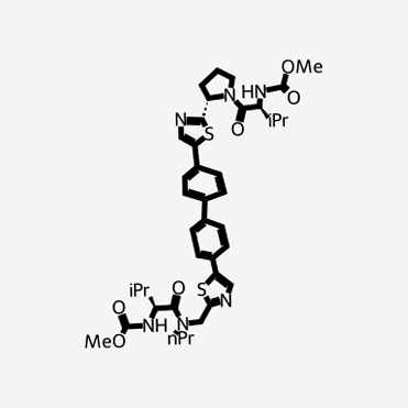 CCCN(Cc1ncc(-c2ccc(-c3ccc(-c4cnc([C@@H]5CCCN5C(=O)[C@@H](NC(=O)OC)C(C)C)s4)cc3)cc2)s1)C(=O)[C@@H](NC(=O)OC)C(C)C